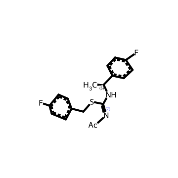 CC(=O)/N=C(/N[C@@H](C)c1ccc(F)cc1)SCc1ccc(F)cc1